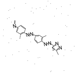 C=Nc1ccc(/N=N/c2ccc(/N=N/c3nnc(C)s3)c(C)c2)c(C)c1